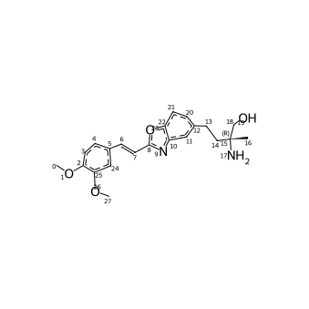 COc1ccc(C=Cc2nc3cc(CC[C@@](C)(N)CO)ccc3o2)cc1OC